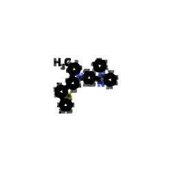 Cc1ccc2c(c1)c1cc(-c3cccc4c3sc3ccccc34)ccc1n2-c1ccc(-c2nc3ccccc3n2-c2ccccc2)cc1